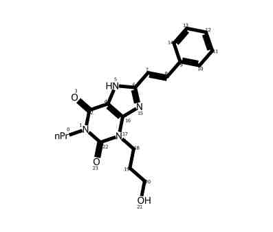 CCCn1c(=O)c2[nH]c(/C=C/c3ccccc3)nc2n(CCCO)c1=O